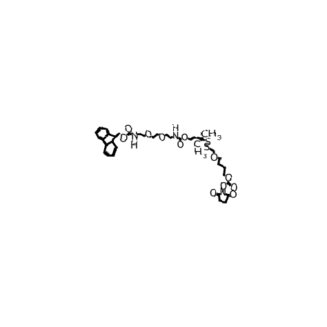 CC(C)(CCOC(=O)NCCOCCOCCNC(=O)OCC1c2ccccc2C2C=CC=CC21)SSCOCCCCOC(=O)ON1C(=O)CCC1=O